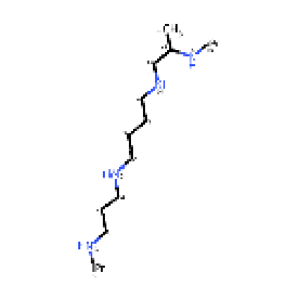 CC(C)NCCCNCCCCNCC(C)NC(C)C